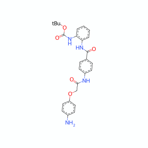 CC(C)(C)OC(=O)Nc1ccccc1NC(=O)c1ccc(NC(=O)COc2ccc(N)cc2)cc1